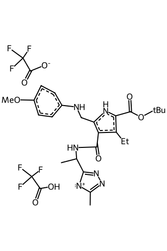 CCc1c(C(=O)OC(C)(C)C)[nH]c(CNc2ccc(OC)cc2)c1C(=O)NC(C)C1=NN=C(C)[N+]1.O=C(O)C(F)(F)F.O=C([O-])C(F)(F)F